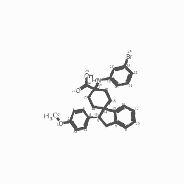 COc1ccc([C@@H]2Cc3ccccc3C23CCC(Nc2cccc(Br)c2)(C(=O)O)CC3)cc1